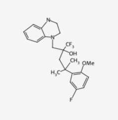 COc1ccc(F)cc1C(C)(C)CC(O)(CN1CC[N]c2ccccc21)C(F)(F)F